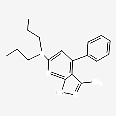 CCCN(CCC)c1cc(-c2ccccc2)c2c(N)n[nH]c2n1